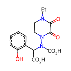 CCN1CCN(N(C(=O)O)C(C(=O)O)c2ccccc2O)C(=O)C1=O